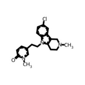 CN1CCc2c(c3cc(Cl)ccc3n2CCc2ccc(=O)n(C)c2)C1